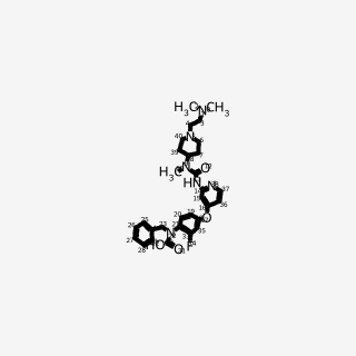 CN(C)CCN1CCC(N(C)C(=O)Nc2cc(Oc3ccc(N(Cc4ccccc4)C(=O)O)c(F)c3)ccn2)CC1